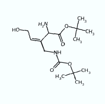 CC(C)(C)OC(=O)NC/C(=C/CO)C(N)C(=O)OC(C)(C)C